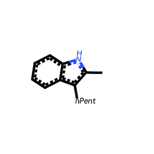 CCCCCc1c(C)[nH]c2ccccc12